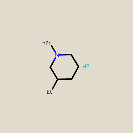 CCCN1CCCC(CC)C1.F